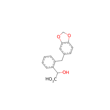 O=C(O)C(O)c1ccccc1Cc1ccc2c(c1)OCO2